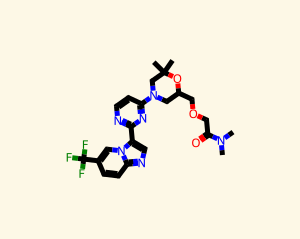 CN(C)C(=O)COCC1CN(c2ccnc(-c3cnc4ccc(C(F)(F)F)cn34)n2)CC(C)(C)O1